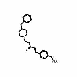 CCCCOc1ccc(/C=C/C(=O)CCN2CCC(Cc3ccccc3)CC2)cc1